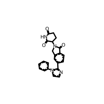 O=C1CCC(N2Cc3cc(-c4nccn4-c4ccccc4)ccc3C2=O)C(=O)N1